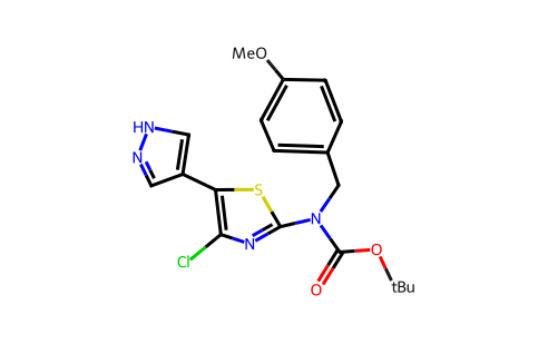 COc1ccc(CN(C(=O)OC(C)(C)C)c2nc(Cl)c(-c3cn[nH]c3)s2)cc1